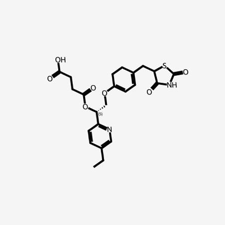 CCc1ccc([C@@H](COC2=CC=C(CC3SC(=O)NC3=O)CC2)OC(=O)CCC(=O)O)nc1